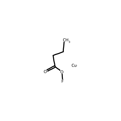 CCCC(=O)OF.[Cu]